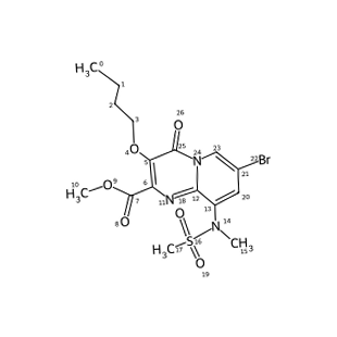 CCCCOc1c(C(=O)OC)nc2c(N(C)S(C)(=O)=O)cc(Br)cn2c1=O